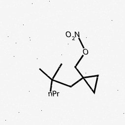 CCCC(C)(C)CC1(CO[N+](=O)[O-])CC1